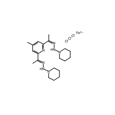 CC(=NNN1CCCCC1)c1cc(C)cc(C(C)=NNN2CCCCC2)n1.[Cl-].[Cl-].[Cl-].[Fe+3]